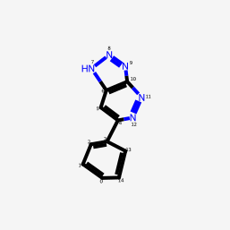 c1ccc(-c2cc3[nH]nnc3nn2)cc1